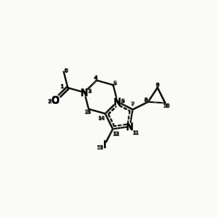 CC(=O)N1CCn2c(C3CC3)nc(I)c2C1